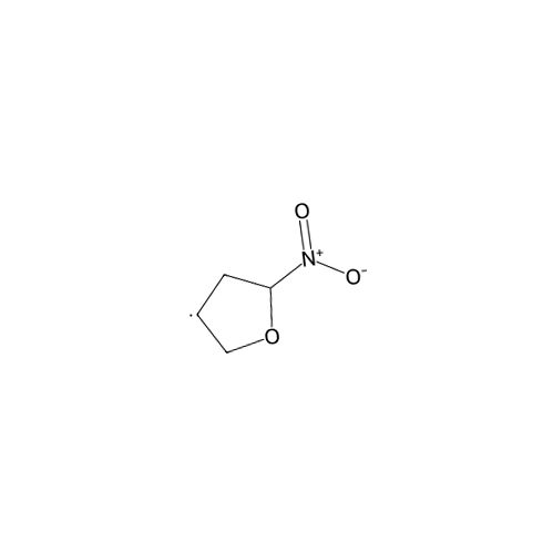 O=[N+]([O-])C1C[CH]CO1